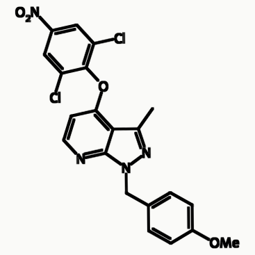 COc1ccc(Cn2nc(C)c3c(Oc4c(Cl)cc([N+](=O)[O-])cc4Cl)ccnc32)cc1